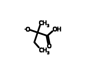 CCC(C)([O])C(=O)O